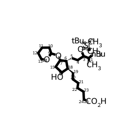 CCCCC(C)C(CC[C@H]1C(OC2CCCCO2)C[C@H](O)[C@@H]1CCCCCCC(=O)O)O[Si](C)(C)C(C)(C)C